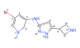 CN1C=C(Br)C=C(Nc2cc(C3CNC3)[nH]n2)C1